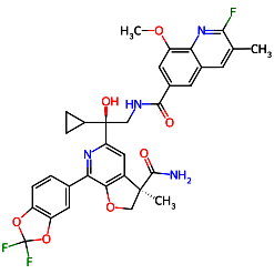 COc1cc(C(=O)NC[C@](O)(c2cc3c(c(-c4ccc5c(c4)OC(F)(F)O5)n2)OC[C@]3(C)C(N)=O)C2CC2)cc2cc(C)c(F)nc12